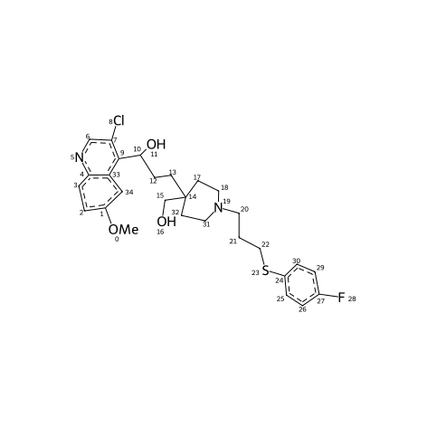 COc1ccc2ncc(Cl)c(C(O)CCC3(CO)CCN(CCCSc4ccc(F)cc4)CC3)c2c1